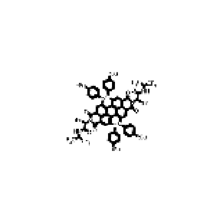 CC(C)C(C(=O)NC(C(F)(F)F)C(F)(F)F)N1C(=O)c2cc(Oc3ccc(C(C)(C)C)cc3)c3c4c(Oc5ccc(C(C)(C)C)cc5)cc5c6c(cc(Oc7ccc(C(C)(C)C)cc7)c(c7c(Oc8ccc(C(C)(C)C)cc8)cc(c2c37)C1=O)c64)C(=O)N(C(C(=O)NC(C(F)(F)F)C(F)(F)F)C(C)C)C5=O